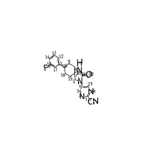 N#Cc1ncc(N2CC3(CCC(c4cccc(F)c4)CC3)NC2=O)cn1